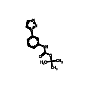 CC(C)(C)OC(=O)Nc1cccc(-n2ccnn2)c1